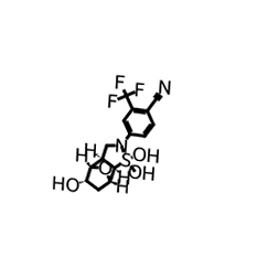 N#Cc1ccc(N2C[C@@H]3[C@@H]4O[C@@H](C[C@@H]4O)[C@@H]3S2(O)O)cc1C(F)(F)F